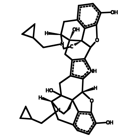 Oc1ccc2c3c1O[C@H]1c4[nH]c5c(c4CC4(O)[C@@H](C2)N(CC2CC2)CC[C@]314)C[C@@]1(O)[C@H]2Cc3ccc(O)c4c3[C@@]1(CCN2CC1CC1)C5O4